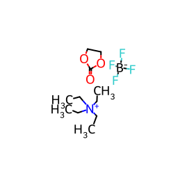 CC[N+](CC)(CC)CC.F[B-](F)(F)F.O=C1OCCO1